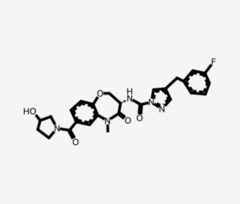 CN1C(=O)[C@@H](NC(=O)n2cc(Cc3cccc(F)c3)cn2)COc2ccc(C(=O)N3CCC(O)C3)cc21